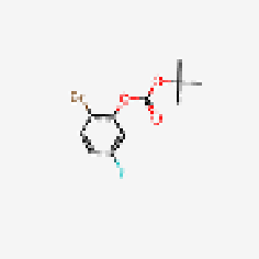 CC(C)(C)OC(=O)Oc1cc(F)ccc1Br